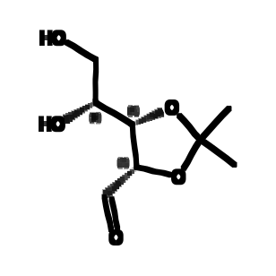 CC1(C)O[C@@H]([C@H](O)CO)[C@@H](C=O)O1